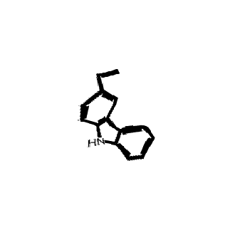 C=Cc1[c][c]c2[nH]c3ccccc3c2c1